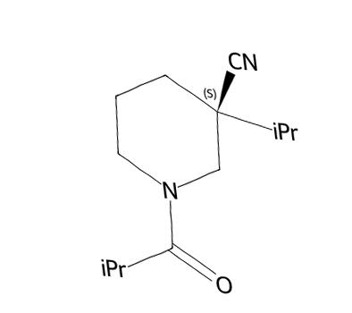 CC(C)C(=O)N1CCC[C@](C#N)(C(C)C)C1